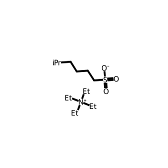 CC(C)CCCCS(=O)(=O)[O-].CC[N+](CC)(CC)CC